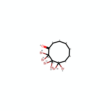 O=C1CCCCCCC(Br)(Br)C(Br)(Br)C1(Br)Br